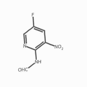 O=CNc1ncc(F)cc1[N+](=O)[O-]